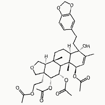 CC(=O)OCC[C@]12COC[C@H]1[C@]1(C)CC[C@@H]3[C@@](C)(C1[C@H](OC(C)=O)[C@@H]2OC(C)=O)[C@H](OC(C)=O)C=C(C)[C@]3(O)CCc1ccc2c(c1)OCO2